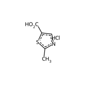 Cc1ncc(C(=O)O)s1.Cl